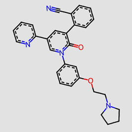 N#Cc1ccccc1-c1cc(-c2ccccn2)cn(-c2cccc(OCCN3CCCC3)c2)c1=O